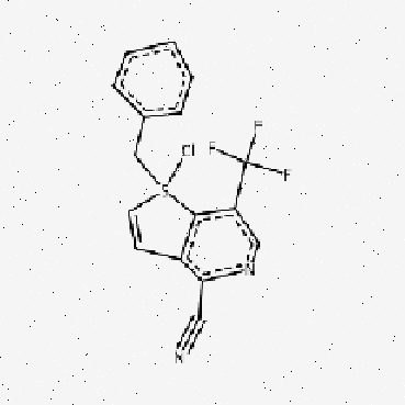 N#Cc1ncc(C(F)(F)F)c2c1C=CS2(Cl)Cc1ccccc1